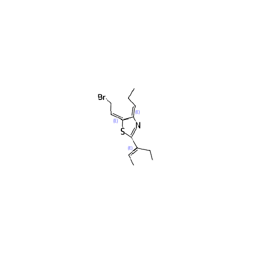 C/C=C(\CC)c1nc(=C/CC)/c(=C\CBr)s1